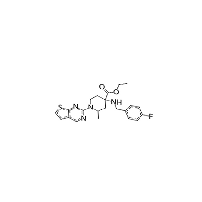 CCOC(=O)C1(NCc2ccc(F)cc2)CCN(c2ncc3ccsc3n2)C(C)C1